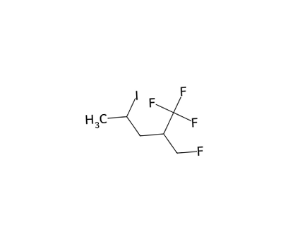 CC(I)CC(CF)C(F)(F)F